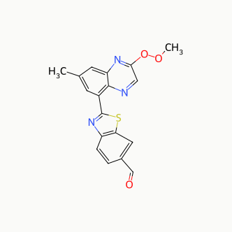 COOc1cnc2c(-c3nc4ccc(C=O)cc4s3)cc(C)cc2n1